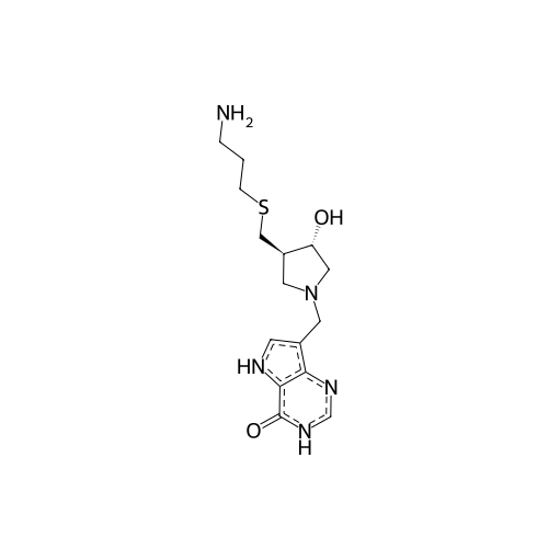 NCCCSC[C@@H]1CN(Cc2c[nH]c3c(=O)[nH]cnc23)C[C@H]1O